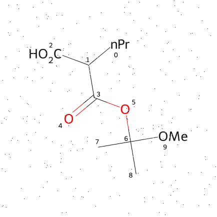 CCCC(C(=O)O)C(=O)OC(C)(C)OC